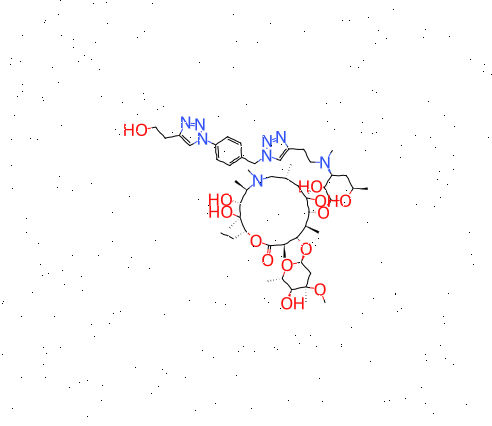 CC[C@H]1OC(=O)[C@H](C)[C@@H](O[C@H]2C[C@@](C)(OC)[C@@H](O)[C@H](C)O2)[C@H](C)[C@@H](O[C@@H]2O[C@H](C)C[C@H](N(C)CCc3cn(Cc4ccc(-n5cc(CCO)nn5)cc4)nn3)[C@H]2O)[C@](C)(O)C[C@@H](C)CN(C)[C@H](C)[C@@H](O)[C@]1(C)O